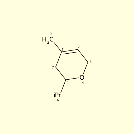 CC1=CCOC(C(C)C)C1